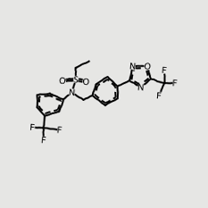 CCS(=O)(=O)N(Cc1ccc(-c2noc(C(F)(F)F)n2)cc1)c1cccc(C(F)(F)F)c1